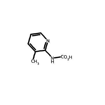 Cc1cccnc1NC(=O)O